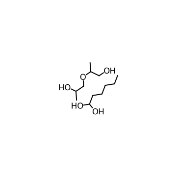 CC(O)COC(C)CO.CCCCCC(O)O